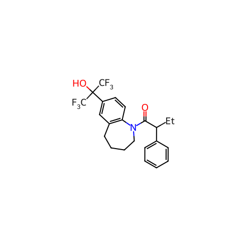 CCC(C(=O)N1CCCCc2cc(C(O)(C(F)(F)F)C(F)(F)F)ccc21)c1ccccc1